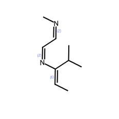 C/C=C(/N=C\C=N/C)C(C)C